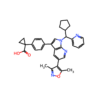 Cc1noc(C)c1-c1cnc2c(c1)c(-c1ccc(C3(C(=O)O)CC3)cc1)cn2C(c1ccccn1)C1CCCC1